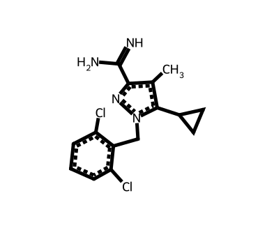 Cc1c(C(=N)N)nn(Cc2c(Cl)cccc2Cl)c1C1CC1